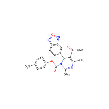 COC(=O)C1=C(C)N=C(OC)N(C(=O)Oc2ccc([N+](=O)[O-])cc2)C1c1ccc2nonc2c1